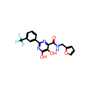 O=C(NCc1ccco1)c1nc(-c2cccc(C(F)(F)F)c2)nc(O)c1O